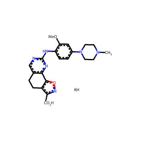 COc1cc(N2CCN(C)CC2)ccc1Nc1ncc2c(n1)-c1onc(C(=O)O)c1CC2.[KH]